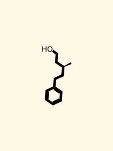 C[C@H](CCO)CCc1ccccc1